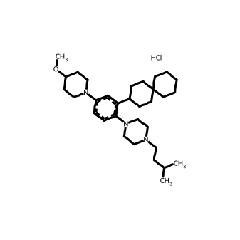 COC1CCN(c2ccc(N3CCN(CCC(C)C)CC3)c(C3CCC4(CCCCC4)CC3)c2)CC1.Cl